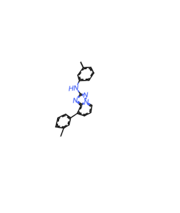 Cc1cccc(Nc2nc3c(-c4cccc(C)c4)cccn3n2)c1